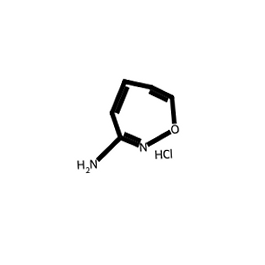 Cl.NC1=NOC=CC=C1